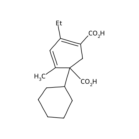 CCC1=C(C(=O)O)CC(C(=O)O)(C2CCCCC2)C(C)=C1